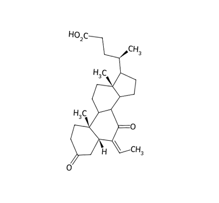 C/C=C1\C(=O)C2C3CCC([C@H](C)CCC(=O)O)[C@@]3(C)CCC2[C@@]2(C)CCC(=O)C[C@@H]12